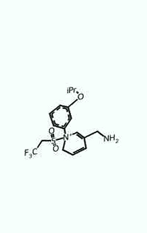 CC(C)Oc1cccc([N+]2(S(=O)(=O)CC(F)(F)F)C=C(CN)C=CC2)c1